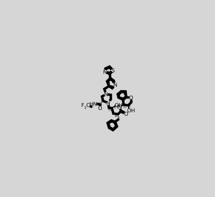 O=C(N[C@H]1c2ccccc2OC[C@H]1O)[C@H](Cc1ccccc1)C[C@H](O)CN1CCN(Cc2cncc(-c3nccs3)c2)C[C@H]1C(=O)NCC(F)(F)F